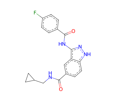 O=C(NCC1CC1)c1ccc2[nH]nc(NC(=O)c3ccc(F)cc3)c2c1